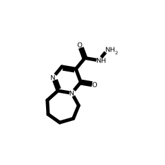 NNC(=O)c1cnc2n(c1=O)CCCCC2